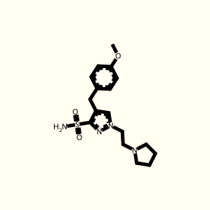 COc1ccc(Cc2cn(CCN3CCCC3)nc2S(N)(=O)=O)cc1